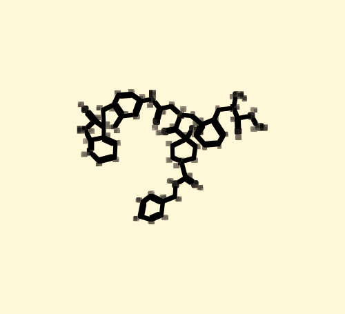 CN(Cc1ccccc1CN(CC(=O)Nc1ccc2c(c1)C[C@@]1(C2)C(=O)Nc2ncccc21)C(=O)C1(C)CCN(C(=O)OCc2ccccc2)CC1)C(=O)OC(C)(C)C